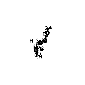 COC(=O)c1ccc2nc(CN3CCN(c4cccc(OCc5ccc(C(=O)C6CC6)cc5F)n4)C[C@@H]3C)n(CC3CCO3)c2c1